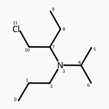 CCCN(C(C)C)C(CC)CCl